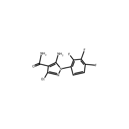 CCc1nn(-c2ccc(F)c(F)c2F)c(N)c1C(N)=O